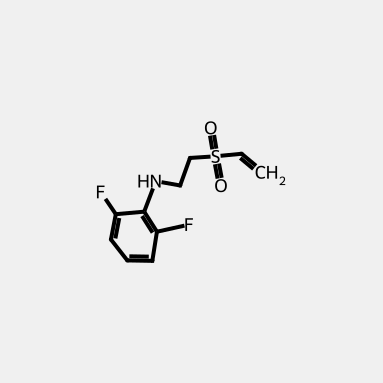 C=CS(=O)(=O)CCNc1c(F)cccc1F